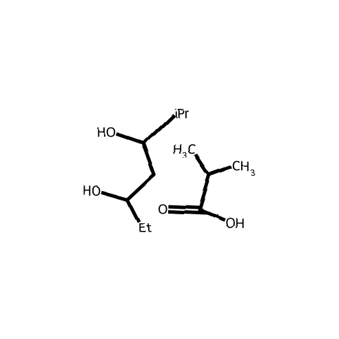 CC(C)C(=O)O.CCC(O)CC(O)C(C)C